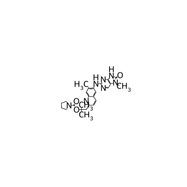 Cc1cc2nc(CC(C)(C)OC(=O)N3CCCC3)ccc2cc1Nc1ncc2c(n1)[nH]c(=O)n2C